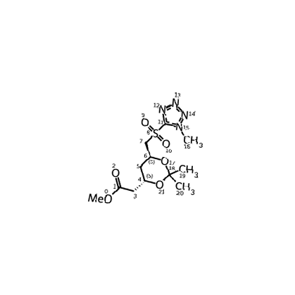 COC(=O)C[C@@H]1C[C@@H](CS(=O)(=O)c2nnnn2C)OC(C)(C)O1